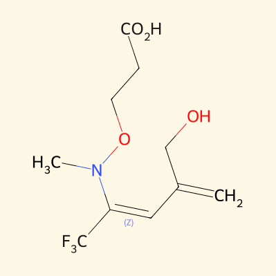 C=C(/C=C(\N(C)OCCC(=O)O)C(F)(F)F)CO